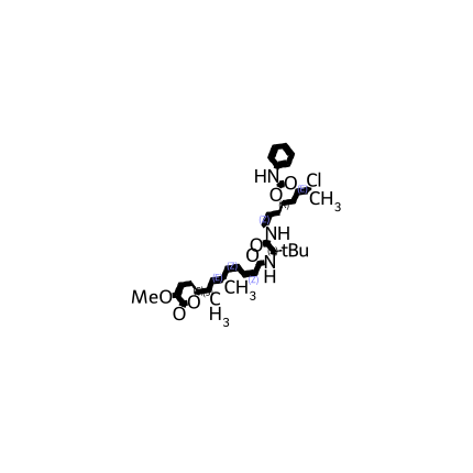 COC1=CC[C@@H]([C@@H](C)/C=C(C)/C=C\C=C/C(=O)N[C@H](C(=O)N/C=C\C[C@H](C/C=C(\C)Cl)OC(=O)Nc2ccccc2)C(C)(C)C)OC1=O